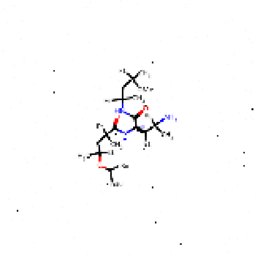 CCCCC(CCCC)OC(C)(CC)CC(C)(CC)C(=O)N/C(C(=O)NC(C)(CC)CC(C)(CC)OC)=C(\CC)C(C)(N)CC